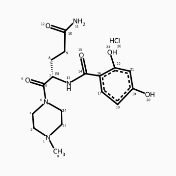 CN1CCN(C(=O)[C@H](CCC(N)=O)NC(=O)c2ccc(O)cc2O)CC1.Cl